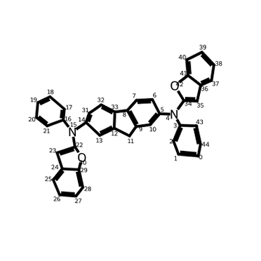 c1ccc(N(c2ccc3c(c2)Cc2cc(N(c4ccccc4)c4cc5ccccc5o4)ccc2-3)c2cc3ccccc3o2)cc1